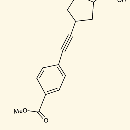 COC(=O)c1ccc(C#CC2CCC(CO)C2)cc1